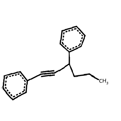 CCCC(C#Cc1cc[c]cc1)c1ccccc1